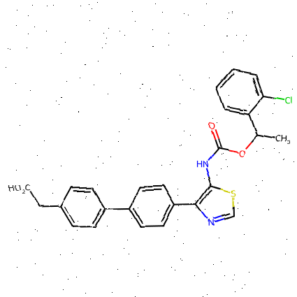 CC(OC(=O)Nc1scnc1-c1ccc(-c2ccc(CC(=O)O)cc2)cc1)c1ccccc1Cl